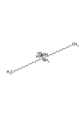 CCCCCCCCCCCCCCCCCCS(CCCCCCCCCCCCCCCCCC)=P(O)(O)S.N